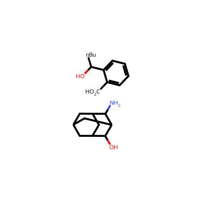 CCCCC(O)c1ccccc1C(=O)O.NC1C2CC3CC(C2)C(O)C1C3